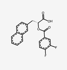 O=C(O[C@H](Cc1ccc2ccccc2c1)C(=O)O)c1ccc(F)c(F)c1